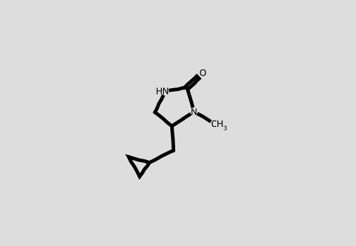 CN1C(=O)NCC1CC1CC1